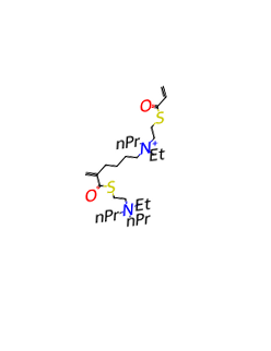 C=CC(=O)SCC[N+](CC)(CCC)CCCCC(=C)C(=O)SCC[N+](CC)(CCC)CCC